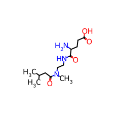 CC(C)CC(=O)N(C)CCNC(=O)C(N)CCC(=O)O